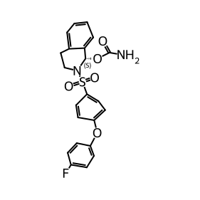 NC(=O)O[C@H]1c2ccccc2CCN1S(=O)(=O)c1ccc(Oc2ccc(F)cc2)cc1